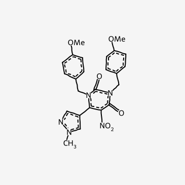 COc1ccc(Cn2c(-c3cnn(C)c3)c([N+](=O)[O-])c(=O)n(Cc3ccc(OC)cc3)c2=O)cc1